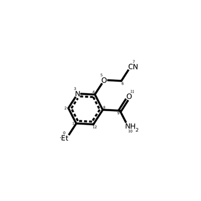 C[CH]c1cnc(OCC#N)c(C(N)=O)c1